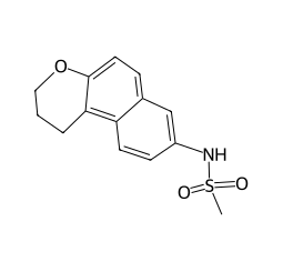 CS(=O)(=O)Nc1ccc2c3c(ccc2c1)OCCC3